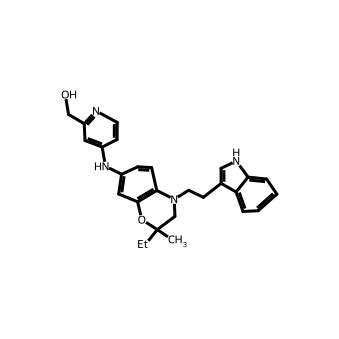 CCC1(C)CN(CCc2c[nH]c3ccccc23)c2ccc(Nc3ccnc(CO)c3)cc2O1